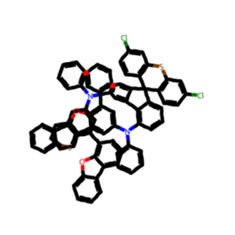 Clc1ccc2c(c1)Sc1cc(Cl)ccc1C21c2ccc(N(c3ccccc3)c3cc(-c4cccc5c4oc4ccccc45)c4sc5ccccc5c4c3)cc2-c2c(N(c3ccccc3)c3cc(-c4ccccc4)c4oc5ccccc5c4c3)cccc21